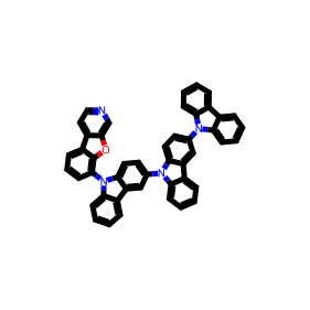 c1cc(-n2c3ccccc3c3cc(-n4c5ccccc5c5cc(-n6c7ccccc7c7ccccc76)ccc54)ccc32)c2oc3cnccc3c2c1